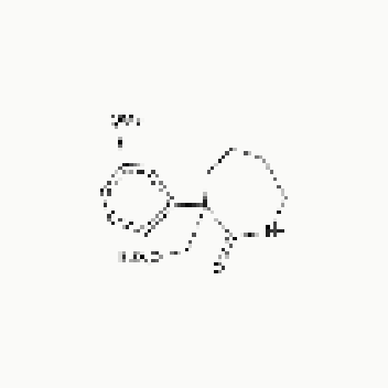 CCOC(=O)CC1(c2cccc(OC)c2)CCCCNC1=O